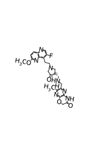 COc1ccc2ncc(F)c(CCN3C[C@H](CNCc4nc5c(nc4C)OCC(=O)N5)[C@H](O)C3)c2n1